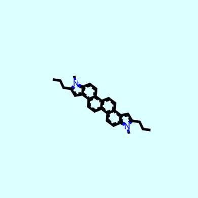 CCCc1cc2c3ccc4c(ccc5c4ccc4c5cc(CCC)n4C)c3ccc2n1C